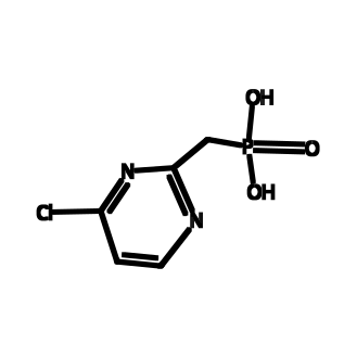 O=P(O)(O)Cc1nccc(Cl)n1